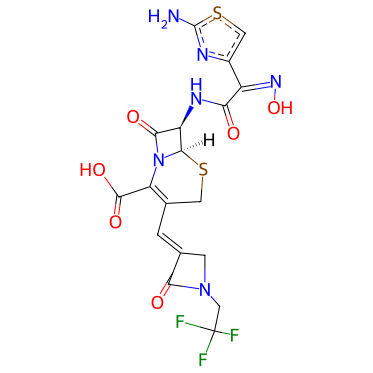 Nc1nc(/C(=N/O)C(=O)N[C@@H]2C(=O)N3C(C(=O)O)=C(/C=C4\CN(CC(F)(F)F)C4=O)CS[C@H]23)cs1